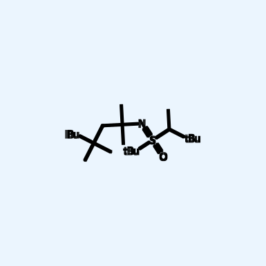 CCC(C)C(C)(C)CC(C)(C)N=S(=O)(C(C)C(C)(C)C)C(C)(C)C